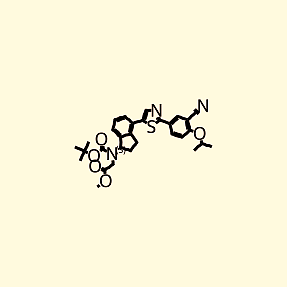 COC(=O)CN(C(=O)OC(C)(C)C)[C@H]1CCc2c(-c3cnc(-c4ccc(OC(C)C)c(C#N)c4)s3)cccc21